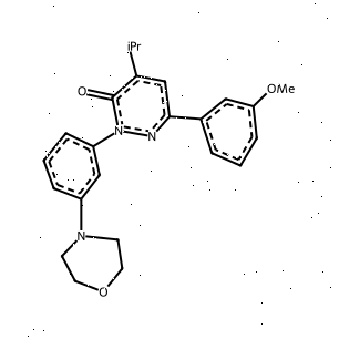 COc1cccc(-c2cc(C(C)C)c(=O)n(-c3cccc(N4CCOCC4)c3)n2)c1